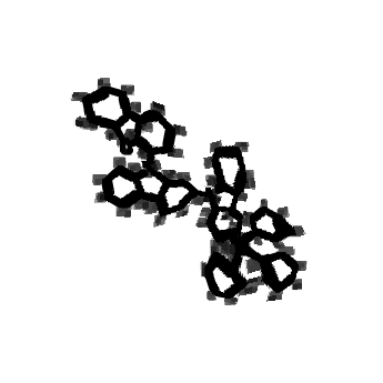 c1ccc([Si](c2ccccc2)(c2ccccc2)c2ccc3c(c2)c2ccccc2n3-c2ccc3c4ccccc4n(-c4cccc5c4oc4ccccc45)c3c2)cc1